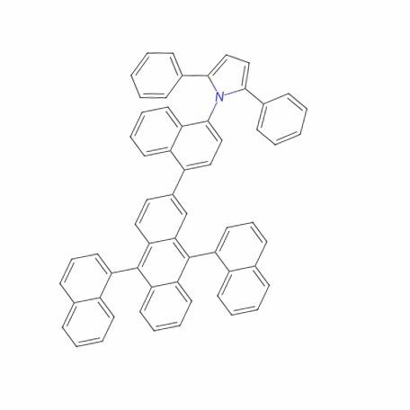 c1ccc(-c2ccc(-c3ccccc3)n2-c2ccc(-c3ccc4c(-c5cccc6ccccc56)c5ccccc5c(-c5cccc6ccccc56)c4c3)c3ccccc23)cc1